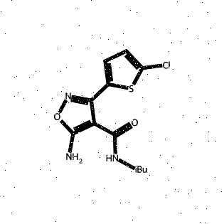 CCC(C)NC(=O)c1c(-c2ccc(Cl)s2)noc1N